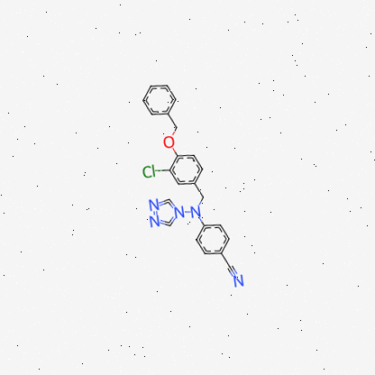 N#Cc1ccc(N(Cc2ccc(OCc3ccccc3)c(Cl)c2)n2cnnc2)cc1